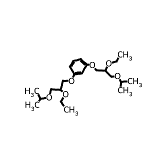 CCOC(COc1cccc(OCC(COC(C)C)OCC)c1)COC(C)C